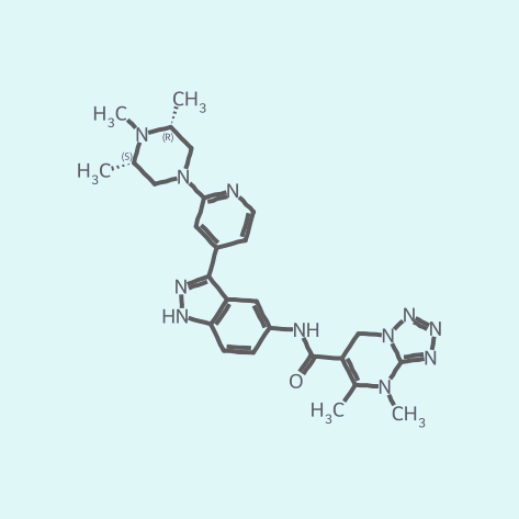 CC1=C(C(=O)Nc2ccc3[nH]nc(-c4ccnc(N5C[C@@H](C)N(C)[C@@H](C)C5)c4)c3c2)Cn2nnnc2N1C